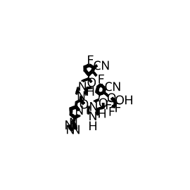 Cc1c([C@@H]2CN3CCN(C(=O)Cc4ccc(-n5cnnn5)cn4)C[C@H]3CO2)ccc(F)c1C#N.Cc1c([C@@H]2CN3CCNC[C@H]3CO2)ccc(F)c1C#N.O=C(O)C(F)(F)F